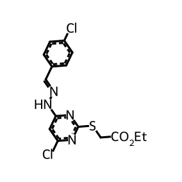 CCOC(=O)CSc1nc(Cl)cc(NN=Cc2ccc(Cl)cc2)n1